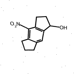 O=[N+]([O-])c1c2c(cc3c1CCC3O)CCC2